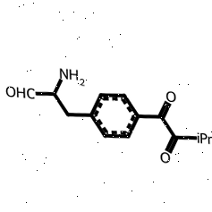 CC(C)C(=O)C(=O)c1ccc(CC(N)C=O)cc1